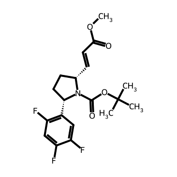 COC(=O)/C=C/[C@H]1CC[C@@H](c2cc(F)c(F)cc2F)N1C(=O)OC(C)(C)C